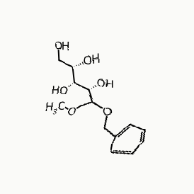 COC(OCc1ccccc1)[C@@H](O)[C@H](O)[C@@H](O)CO